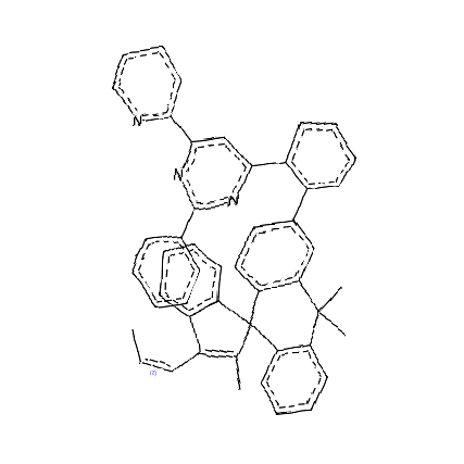 C/C=C\C1=C(C)C2(c3ccccc31)c1ccccc1C(C)(C)c1cc(-c3ccccc3-c3cc(-c4ccccn4)nc(-c4ccccc4)n3)ccc12